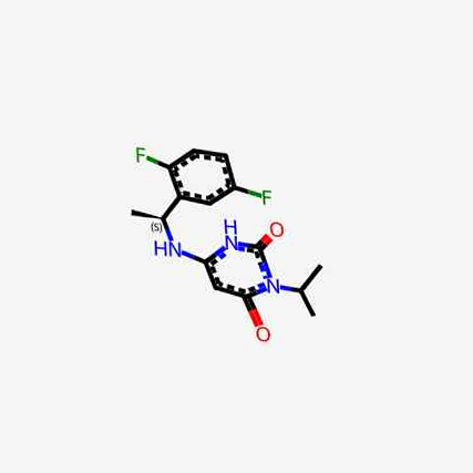 CC(C)n1c(=O)cc(N[C@@H](C)c2cc(F)ccc2F)[nH]c1=O